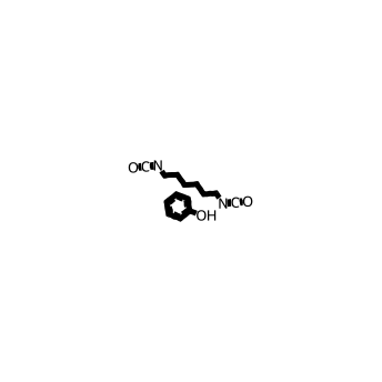 O=C=NCCCCCCN=C=O.Oc1ccccc1